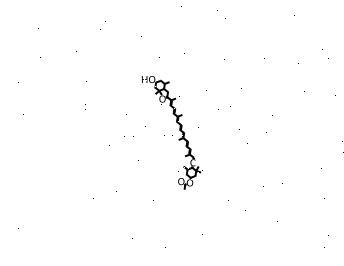 CC(=O)OC1CC(C)C(=C=C/C(C)=C/C=C/C(C)=C/C=C/C=C(C)/C=C/C=C(\C)C(=O)CC2C(C)CC(O)CC2(C)C)C(C)(C)C1